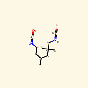 CC(C[CH]N=C=O)CC(C)(C)[CH]N=C=O